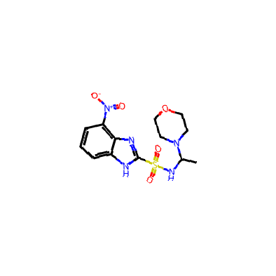 CC(NS(=O)(=O)c1nc2c([N+](=O)[O-])cccc2[nH]1)N1CCOCC1